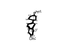 CCCCCC1CCC(c2ccc3cc(OC(C)=O)ccc3c2)CC1